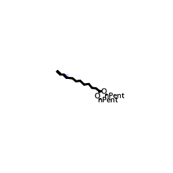 C=C/C=C/CCCCCCCC(OCCCCC)OCCCCC